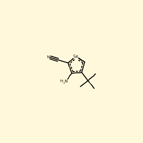 CC(C)(C)c1c[se]c(C#N)c1N